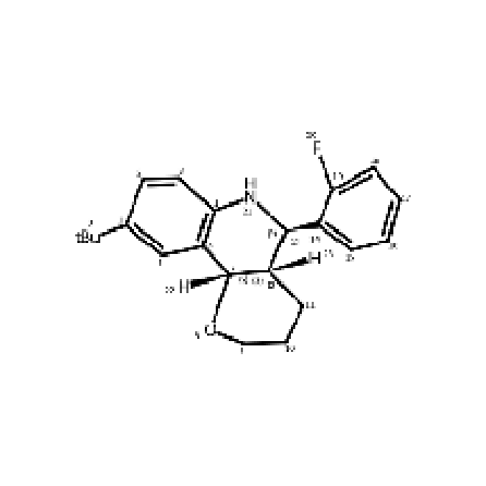 CC(C)(C)c1ccc2c(c1)[C@H]1OCCC[C@H]1[C@H](c1ccccc1F)N2